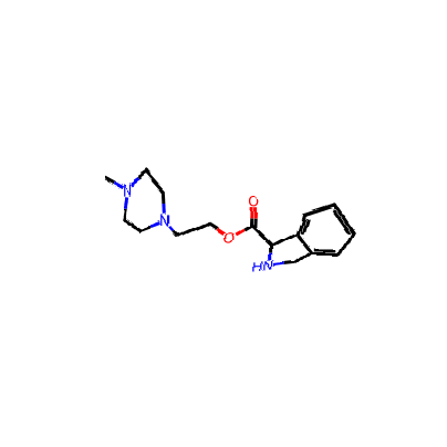 CN1CCN(CCOC(=O)C2NCc3ccccc32)CC1